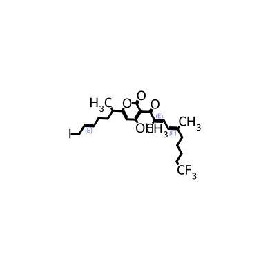 C/C(=C\C=C(/C)C(=O)c1c(O)cc(C(C)CC/C=C/CI)oc1=O)CCCCC(F)(F)F